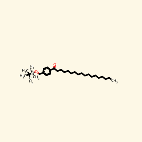 CCCCCCCCCCCCCCCCCC(=O)c1ccc(CO[Si](C)(C)C(C)(C)C)cc1